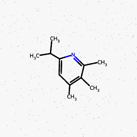 Cc1cc(C(C)C)nc(C)c1C